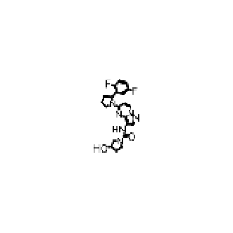 O=C(Nc1cnn2ccc(N3CCCC3c3cc(F)ccc3F)nc12)N1CCC(O)C1